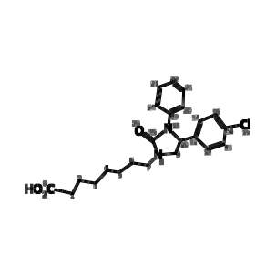 O=C(O)CCCCCCCN1CC(c2ccc(Cl)cc2)N(c2ccccc2)C1=O